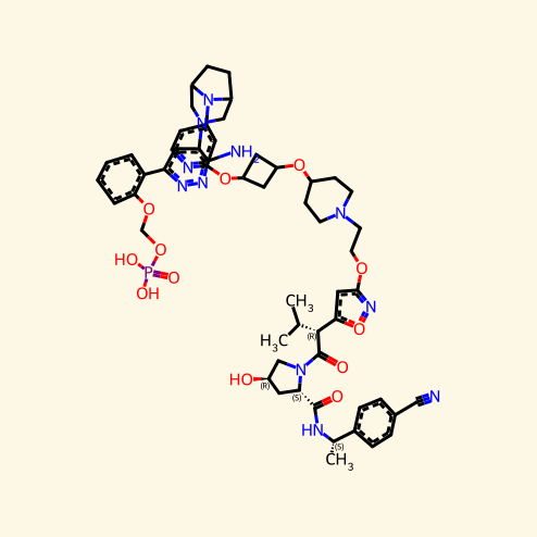 CC(C)[C@@H](C(=O)N1C[C@H](O)C[C@H]1C(=O)N[C@@H](C)c1ccc(C#N)cc1)c1cc(OCCN2CCC(OC3CC(Oc4cc(N5C6CCC5CN(c5cc(-c7ccccc7OCOP(=O)(O)O)nnc5N)C6)ccn4)C3)CC2)no1